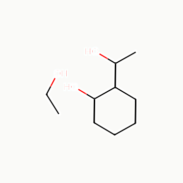 CC(O)C1CCCCC1O.CCO